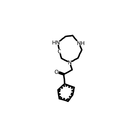 O=C(CN1CCNCCNCC1)c1ccccc1